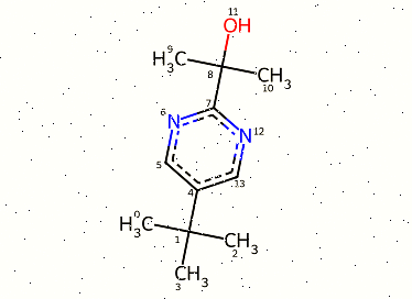 CC(C)(C)c1cnc(C(C)(C)O)nc1